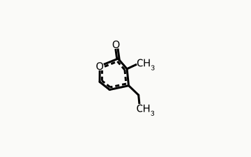 CCc1ccoc(=O)c1C